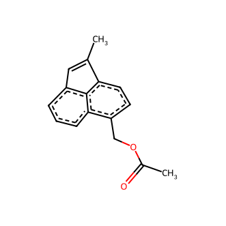 CC(=O)OCc1ccc2c3c(cccc13)C=C2C